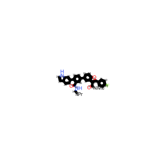 CNC(=O)c1c(-c2ccc(F)cc2)oc2ccc(-c3ccc(C4=CC5NC=CC5C=C4)c(C(=O)NCC(C)C)c3)cc12